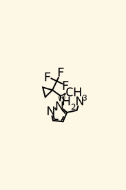 C[C@@H](n1nccc1CN)C1(C(F)(F)F)CC1